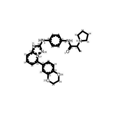 CC(C(=O)Nc1ccc(Nc2nc3cccc(-c4ccc5c(c4)OCCO5)n3n2)cc1)N1CCCC1